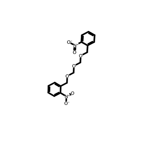 O=[N+]([O-])c1ccccc1COCOCOCc1ccccc1[N+](=O)[O-]